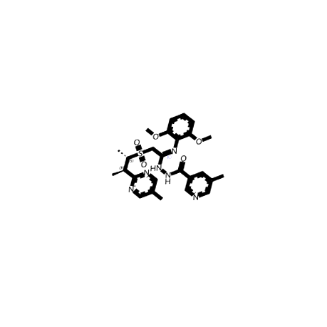 COc1cccc(OC)c1/N=C(\CS(=O)(=O)[C@@H](C)[C@H](C)c1ncc(C)cn1)NNC(=O)c1cncc(C)c1